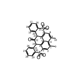 Cc1cc2c3c4c5c(cc(C)c14)S(=O)(=O)c1ccccc1C5C(=O)C3c1ccccc1S2(=O)=O